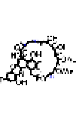 CO[C@H]1/C=C/O[C@]2(C)Cc3c(c(C)c(O)c4c(=O)c(c5oc6cc(F)cc(O)c6nc-5c34)NC(=O)/C(C)=C\C=C\[C@H](C)[C@H](O)[C@@H](C)[C@@H](O)[C@@H](C)[C@H](OC(C)=O)[C@@H]1C)O2